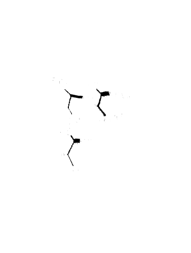 O=C([O-])CC(=O)C(F)(F)F.O=C([O-])CC(=O)C(F)(F)F.O=C([O-])CC(=O)C(F)(F)F.[La+3]